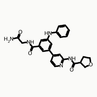 NC(=O)CNC(=O)c1cc(Nc2ccccc2)cc(-c2ccnc(NC(=O)C3CCOC3)c2)c1